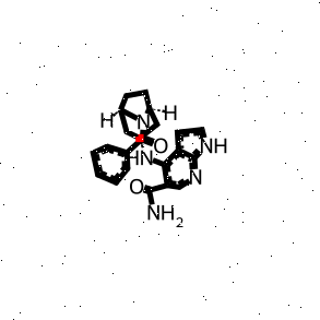 NC(=O)c1cnc2[nH]ccc2c1N[C@@H]1C[C@H]2CC[C@@H](C1)N2C(=O)c1ccccc1